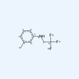 Cc1cccc(NCC(F)(F)F)c1